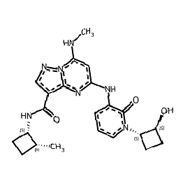 CNc1cc(Nc2cccn([C@H]3CC[C@@H]3O)c2=O)nc2c(C(=O)N[C@H]3CC[C@H]3C)cnn12